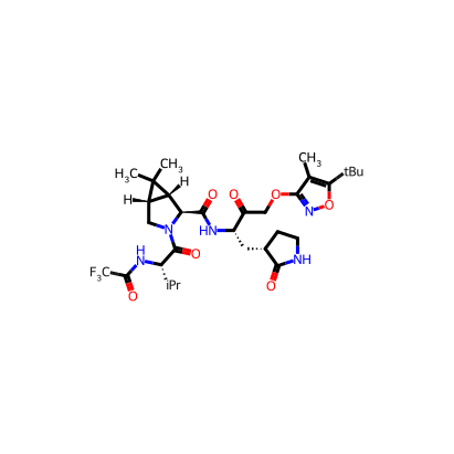 Cc1c(OCC(=O)[C@H](C[C@@H]2CCNC2=O)NC(=O)[C@@H]2[C@@H]3[C@H](CN2C(=O)[C@@H](NC(=O)C(F)(F)F)C(C)C)C3(C)C)noc1C(C)(C)C